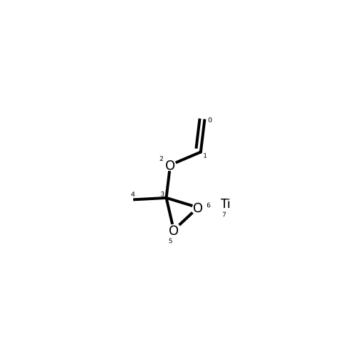 C=COC1(C)OO1.[Ti]